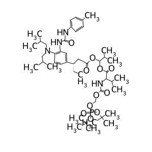 CC[C@@H](CC(=O)OC(OC(=O)C(NC(=O)OCOP(=O)(OC(C)(C)C)OC(C)(C)C)C(C)C)C(C)C)c1ccc(N(CC(C)C)CC(C)C)c(NC(=O)Nc2ccc(C)cc2)c1